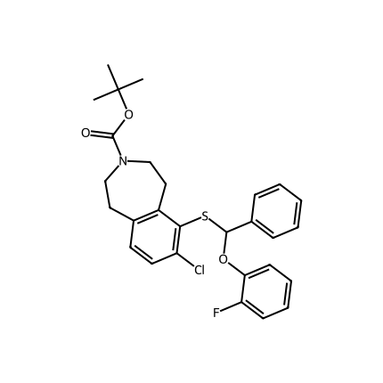 CC(C)(C)OC(=O)N1CCc2ccc(Cl)c(SC(Oc3ccccc3F)c3ccccc3)c2CC1